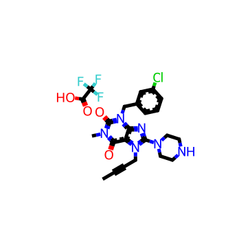 CC#CCn1c(N2CCNCC2)nc2c1c(=O)n(C)c(=O)n2Cc1cccc(Cl)c1.O=C(O)C(F)(F)F